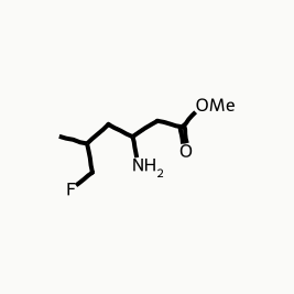 COC(=O)CC(N)CC(C)CF